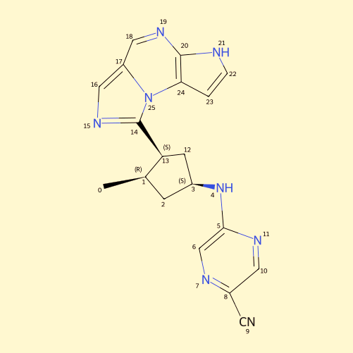 C[C@@H]1C[C@H](Nc2cnc(C#N)cn2)C[C@@H]1c1ncc2cnc3[nH]ccc3n12